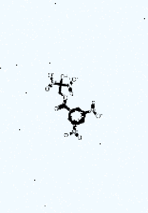 CC(COC(=O)c1cc([N+](=O)[O-])cc([N+](=O)[O-])c1)([N+](=O)[O-])[N+](=O)[O-]